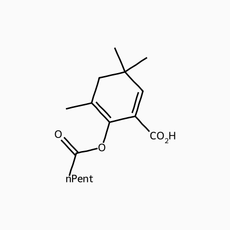 CCCCCC(=O)OC1=C(C)CC(C)(C)C=C1C(=O)O